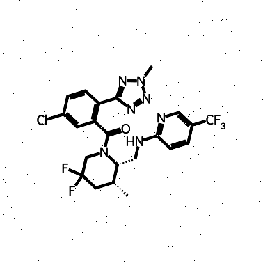 C[C@@H]1CC(F)(F)CN(C(=O)c2cc(Cl)ccc2-c2nnn(C)n2)[C@@H]1CNc1ccc(C(F)(F)F)cn1